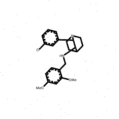 COc1ccc(CNC2C3CCN(CC3)C2c2cccc(Cl)c2)c(OC)c1